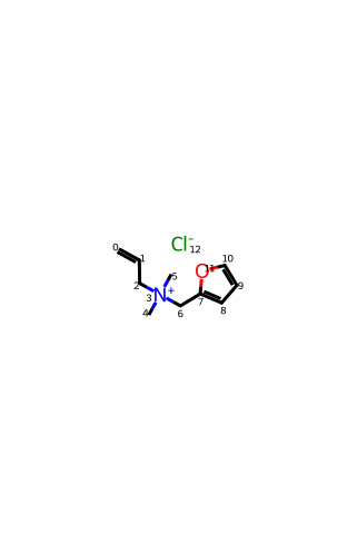 C=CC[N+](C)(C)Cc1ccco1.[Cl-]